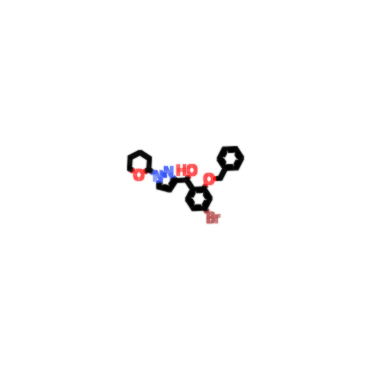 OC(c1ccn(C2CCCCO2)n1)c1ccc(Br)cc1OCc1ccccc1